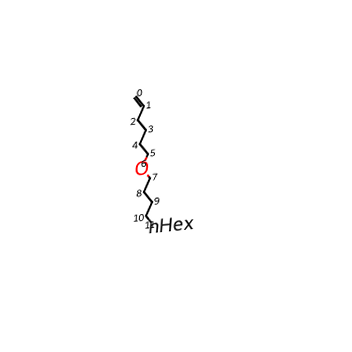 C=CCCCCOCCCCCCCCCC